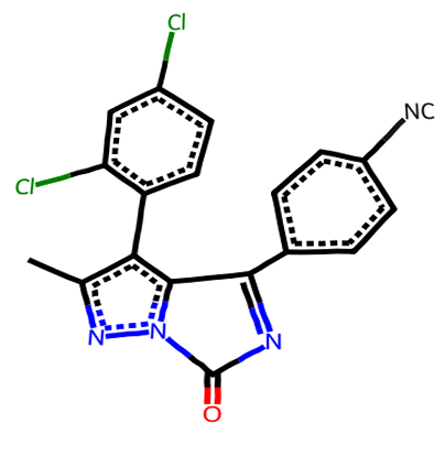 [C-]#[N+]c1ccc(C2=NC(=O)n3nc(C)c(-c4ccc(Cl)cc4Cl)c32)cc1